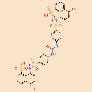 O=C(Nc1ccc(S(=O)(=O)Nc2ccc(O)c3cccc(S(=O)(=O)O)c23)cc1)Nc1ccc(S(=O)(=O)Nc2ccc(O)c3cccc(S(=O)(=O)O)c23)cc1